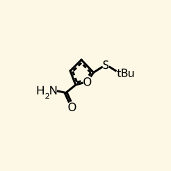 CC(C)(C)Sc1ccc(C(N)=O)o1